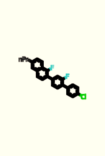 CCCc1ccc2c(F)c(-c3ccc(-c4ccc(Cl)cc4)c(F)c3)ccc2c1